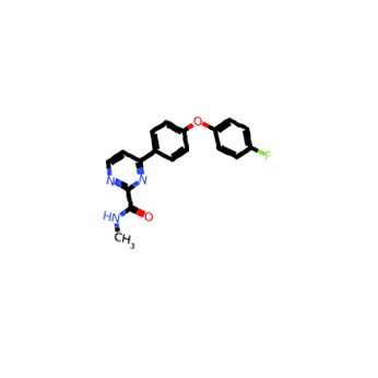 CNC(=O)c1nccc(-c2ccc(Oc3ccc(F)cc3)cc2)n1